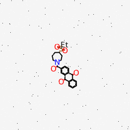 CCS(=O)(=O)C1CCCN(C(=O)c2ccc3c(c2)C(=O)c2ccccc2C3=O)CC1